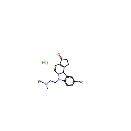 CC(=O)c1ccc2c(c1)C1C3=C(C=CC1N2CCN(C)C(C)C)C(=O)CC3.Cl